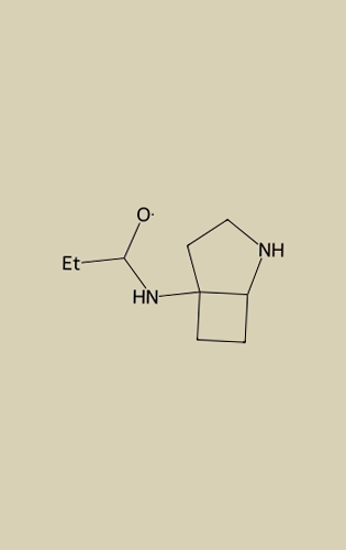 CCC([O])NC12CCNC1CC2